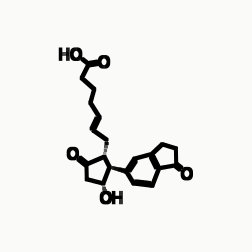 O=C(O)CCCC=CC[C@H]1C(=O)C[C@@H](O)[C@@H]1c1ccc2c(c1)CCC2=O